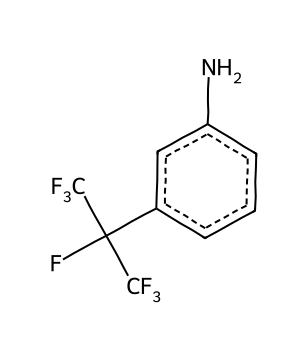 Nc1cccc(C(F)(C(F)(F)F)C(F)(F)F)c1